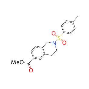 COC(=O)c1ccc2c(c1)CCN(S(=O)(=O)c1ccc(C)cc1)C2